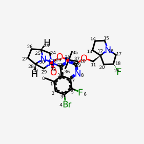 Cc1cc(Br)c(F)c2nc(OC[C@@]34CCCN3C[C@H](F)C4)nc(N3C[C@H]4CC[C@@H](C3)N4C(=O)OC(C)(C)C)c12